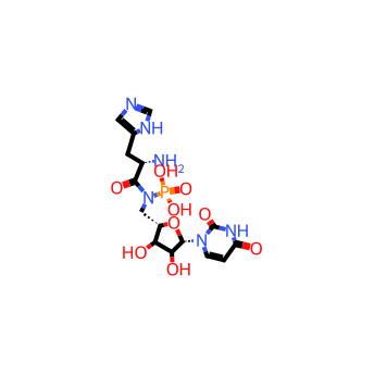 N[C@@H](Cc1cnc[nH]1)C(=O)N(C[C@@H]1O[C@H](n2ccc(=O)[nH]c2=O)C(O)C1O)P(=O)(O)O